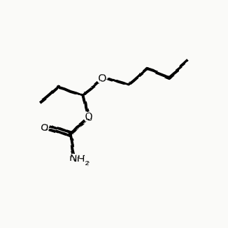 CCCCOC(CC)OC(N)=O